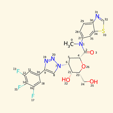 CN(C(=O)[C@H]1C[C@@H](n2cc(-c3cc(F)c(F)c(F)c3)nn2)[C@@H](O)[C@@H](CO)O1)c1ccc2ncsc2c1